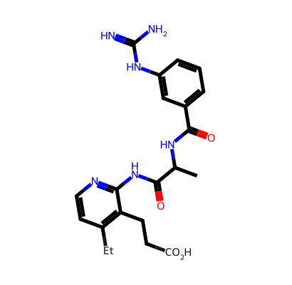 CCc1ccnc(NC(=O)C(C)NC(=O)c2cccc(NC(=N)N)c2)c1CCC(=O)O